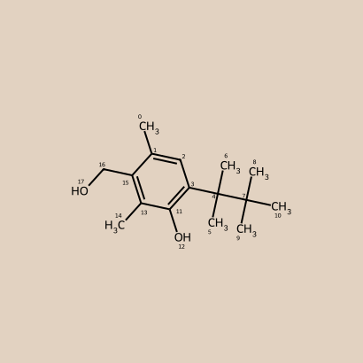 Cc1cc(C(C)(C)C(C)(C)C)c(O)c(C)c1CO